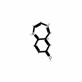 O=c1ccc2nccncc-2c1